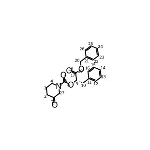 O=C1CCCN(C(=O)O[C@@H](Cc2ccccc2)C(=O)OCc2ccccc2)C1